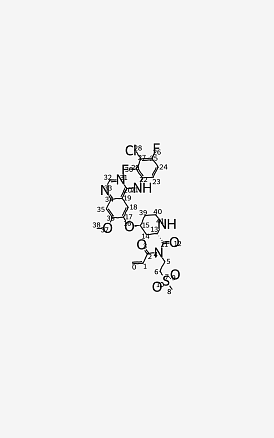 C=CC(=O)N(CCS(C)(=O)=O)C(=O)[C@@H]1C[C@@H](Oc2cc3c(Nc4ccc(F)c(Cl)c4F)ncnc3cc2OC)CCN1